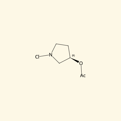 CC(=O)O[C@@H]1CCN(Cl)C1